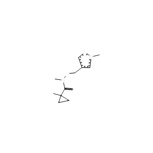 CN(OCc1cnn(C)c1)C(=O)C1(C)CC1